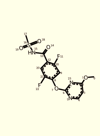 COc1ccnc(Oc2cc(F)c(C(=O)NS(C)(=O)=O)cc2F)n1